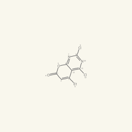 CCc1cc(=O)oc2nc(Cl)nc(Cl)c12